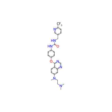 CN(C)CCN(C)c1ccc2c(Oc3ccc(NC(=O)NCc4ccc(C(F)(F)F)nc4)cc3)ncnc2c1